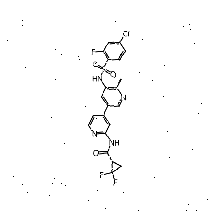 Cc1ncc(-c2ccnc(NC(=O)C3CC3(F)F)c2)cc1NS(=O)(=O)c1ccc(Cl)cc1F